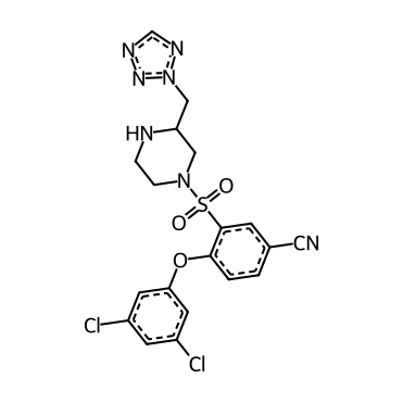 N#Cc1ccc(Oc2cc(Cl)cc(Cl)c2)c(S(=O)(=O)N2CCNC(Cn3ncnn3)C2)c1